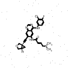 CN(C)C/C=C/C(=O)Nc1cc2c(Nc3ccc(F)c(Cl)c3)ncnc2cc1C#C[C@]12COC[C@H]1C2